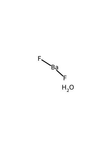 O.[F][Ba][F]